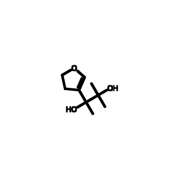 CC(C)(O)C(C)(O)C1=COCC1